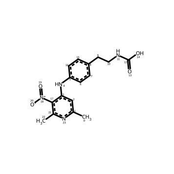 Cc1cc(Nc2ccc(CCNC(=O)O)cc2)c([N+](=O)[O-])c(C)n1